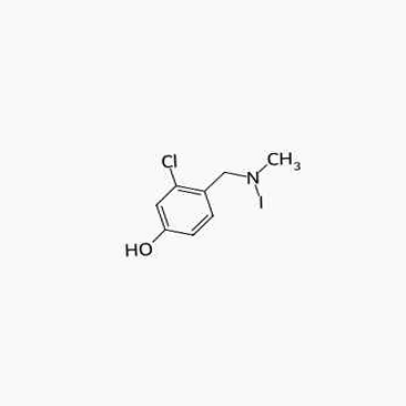 CN(I)Cc1ccc(O)cc1Cl